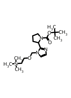 CC(C)(C)OC(=O)N1CCCC1c1nccn1COCC[Si](C)(C)C